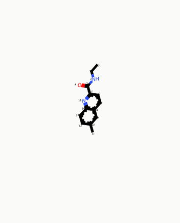 CCNC(=O)c1ccc2cc(C)ccc2n1